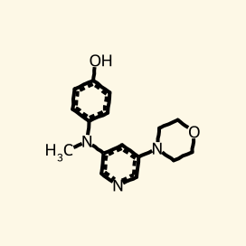 CN(c1ccc(O)cc1)c1cncc(N2CCOCC2)c1